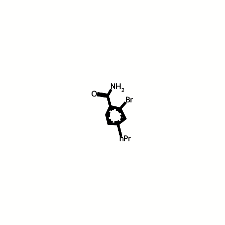 CCCc1ccc(C(N)=O)c(Br)c1